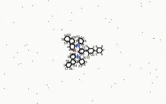 Cc1cc(-c2ccccc2)cc(C)c1-c1cc2c3c(c1)N(c1ccccc1)c1c(ccc4c1ccc1ccccc14)B3c1ccc3c(ccc4ccccc43)c1N2c1ccccc1